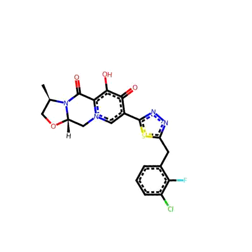 C[C@@H]1CO[C@H]2Cn3cc(-c4nnc(Cc5cccc(Cl)c5F)s4)c(=O)c(O)c3C(=O)N12